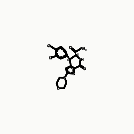 NC(=O)[C@@H]1NC(=O)c2sc(N3CCOCC3)cc2[C@H]1c1ccc(Cl)c(Cl)c1